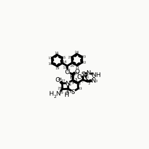 CN1C2=NNN1SC2C1=C(C(=O)OC(c2ccccc2)c2ccccc2)N2C(=O)C(N)[C@@H]2SC1